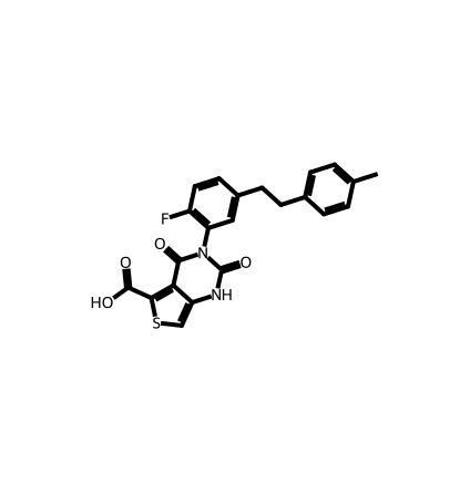 Cc1ccc(CCc2ccc(F)c(-n3c(=O)[nH]c4csc(C(=O)O)c4c3=O)c2)cc1